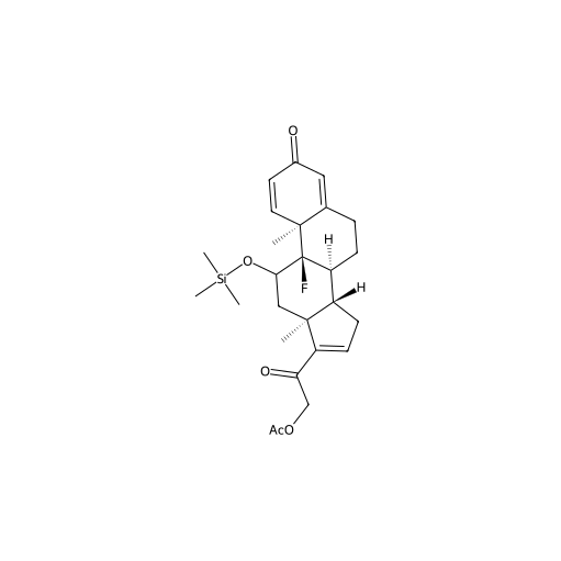 CC(=O)OCC(=O)C1=CC[C@H]2[C@@H]3CCC4=CC(=O)C=C[C@]4(C)[C@@]3(F)C(O[Si](C)(C)C)C[C@]12C